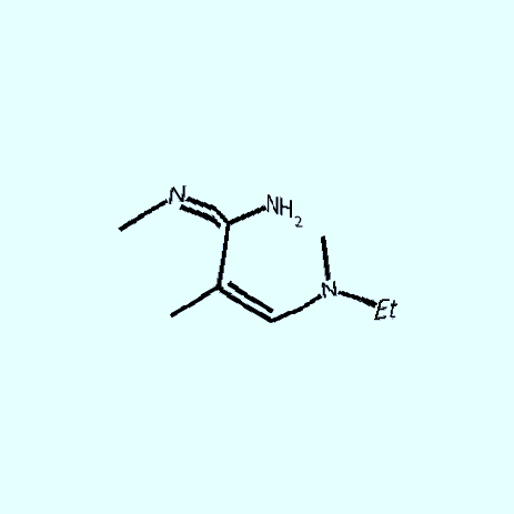 CCN(C)/C=C(C)\C(N)=N/C